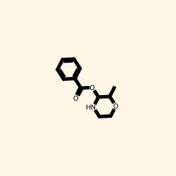 CC1OCCNC1OC(=O)c1ccccc1